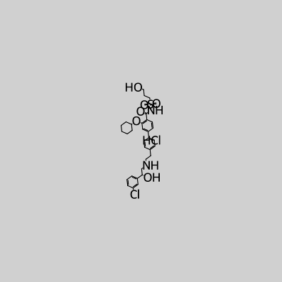 Cl.O=C(NS(=O)(=O)CCCO)c1ccc(-c2ccc(CCNC[C@H](O)c3cccc(Cl)c3)cc2)cc1OC1CCCCC1